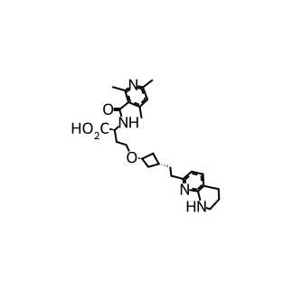 Cc1cc(C)c(C(=O)N[C@@H](CCO[C@H]2C[C@@H](CCc3ccc4c(n3)NCCC4)C2)C(=O)O)c(C)n1